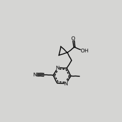 Cc1ncc(C#N)nc1CC1(C(=O)O)CC1